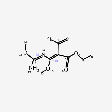 C=C(I)/C(C(=O)OCC)=C(\N=C(/N)OC)OC